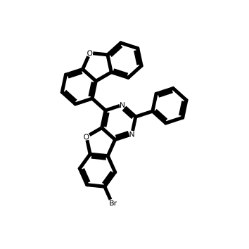 Brc1ccc2oc3c(-c4cccc5oc6ccccc6c45)nc(-c4ccccc4)nc3c2c1